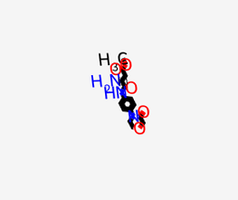 COC(=O)C[C@@H](N)C(=O)Nc1ccc(N2CCOCC2=O)cc1